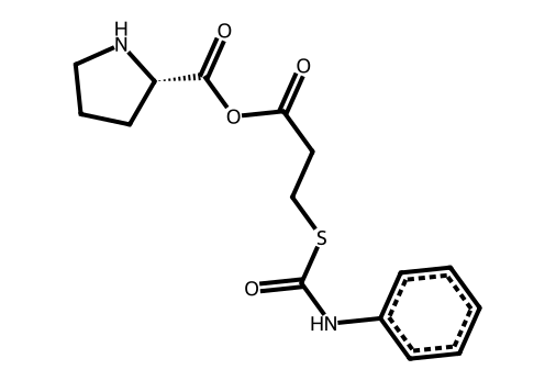 O=C(CCSC(=O)Nc1ccccc1)OC(=O)[C@@H]1CCCN1